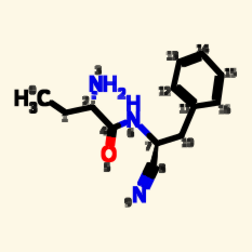 CC[C@H](N)C(=O)N[C@H](C#N)Cc1ccccc1